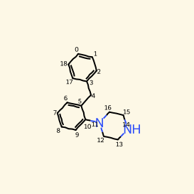 c1ccc(Cc2ccccc2N2CCNCC2)cc1